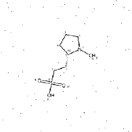 CN1CCC[C@H]1CCS(=O)(=O)O